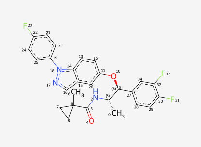 C[C@H](NC(=O)C1(C)CC1)[C@@H](Oc1ccc2c(cnn2-c2ccc(F)cc2)c1)c1ccc(F)c(F)c1